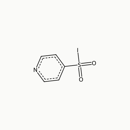 O=S(=O)(I)c1ccncc1